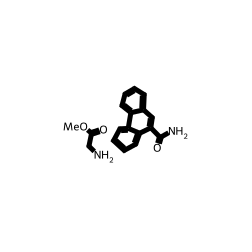 COC(=O)CN.NC(=O)c1cc2ccccc2c2ccccc12